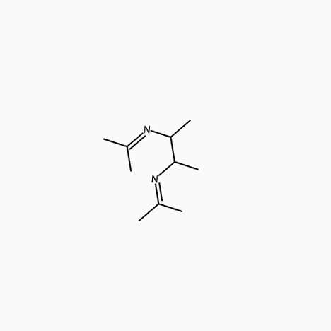 CC(C)=NC(C)C(C)N=C(C)C